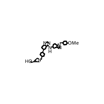 COc1ccc(Cn2ncc3cc(Nc4ncnc5ccc(-c6ccc(CN7CC8C(CO)C8C7)cc6)cc45)ccc32)cc1